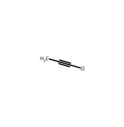 [CH2]C#CCl